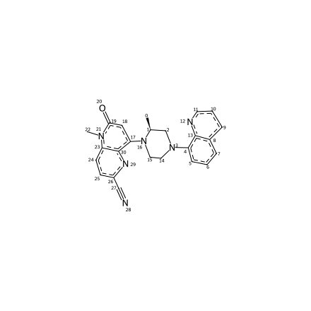 C[C@H]1CN(c2cccc3cccnc23)CCN1c1cc(=O)n(C)c2ccc(C#N)nc12